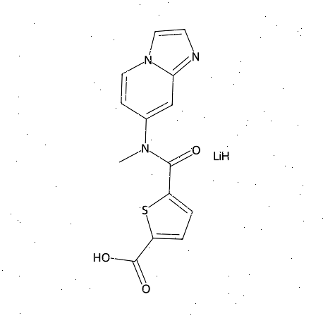 CN(C(=O)c1ccc(C(=O)O)s1)c1ccn2ccnc2c1.[LiH]